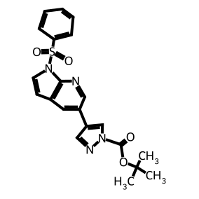 CC(C)(C)OC(=O)n1cc(-c2cnc3c(ccn3S(=O)(=O)c3ccccc3)c2)cn1